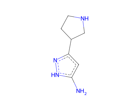 Nc1cc(C2CCNC2)n[nH]1